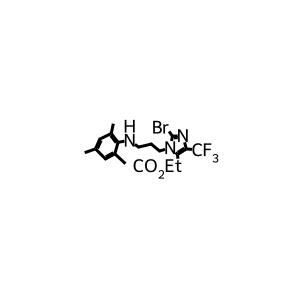 CCOC(=O)c1c(C(F)(F)F)nc(Br)n1CCCNc1c(C)cc(C)cc1C